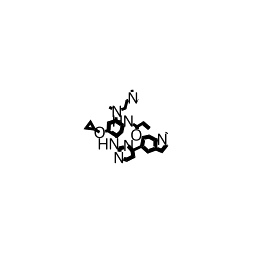 C=CC(=O)Nc1cc(Nc2nccc(-c3ccc4c(ccn4C)c3)n2)c(OC2CC2)cc1N(C)CCN(C)C